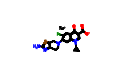 Nc1nc2c(s1)CN(c1cc3c(cc1F)c(=O)c(C(=O)[O-])cn3C1CC1)CC2.[Na+]